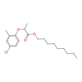 CCCCCCCCCOC(=O)C(C)Oc1ccc(Cl)cc1C